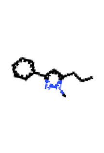 CCCc1cc(-c2ccccc2)nn1C